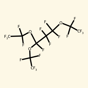 FC(F)(F)C(F)(F)OC(F)(F)C(F)(F)C(F)(OC(F)(F)C(F)(F)F)OC(F)(F)C(F)(F)F